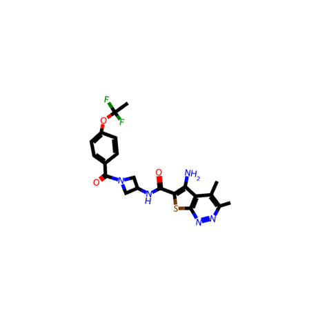 Cc1nnc2sc(C(=O)NC3CN(C(=O)c4ccc(OC(C)(F)F)cc4)C3)c(N)c2c1C